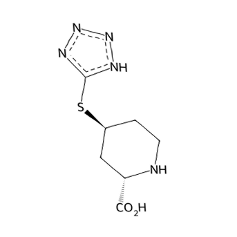 O=C(O)[C@@H]1C[C@@H](Sc2nnn[nH]2)CCN1